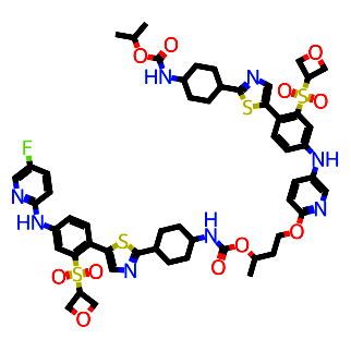 CC(C)OC(=O)NC1CCC(c2ncc(-c3ccc(Nc4ccc(OCCC(C)OC(=O)NC5CCC(c6ncc(-c7ccc(Nc8ccc(F)cn8)cc7S(=O)(=O)C7COC7)s6)CC5)nc4)cc3S(=O)(=O)C3COC3)s2)CC1